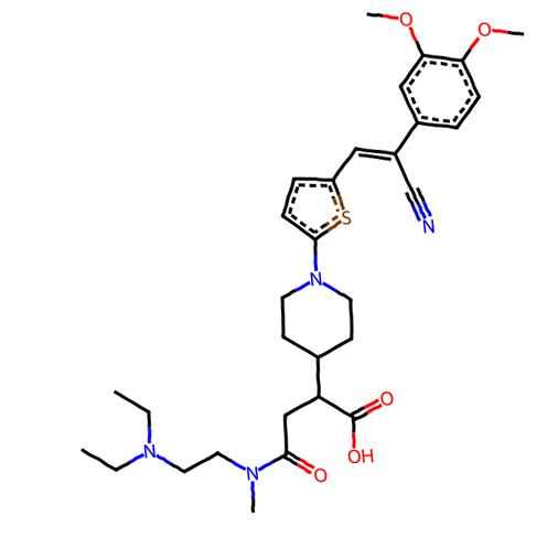 CCN(CC)CCN(C)C(=O)CC(C(=O)O)C1CCN(c2ccc(C=C(C#N)c3ccc(OC)c(OC)c3)s2)CC1